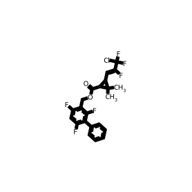 CC1(C)C(/C=C(\F)C(F)(F)Cl)C1C(=O)OCc1c(F)cc(F)c(-c2ccccc2)c1F